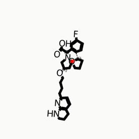 O=C(O)[C@H](c1cc(F)ccc1[C@@H]1CCCO1)N1CC[C@@H](OCCCCc2ccc3c(n2)NCCC3)C1